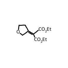 CCOC(=O)C(C(=O)OCC)=C1CCOC1